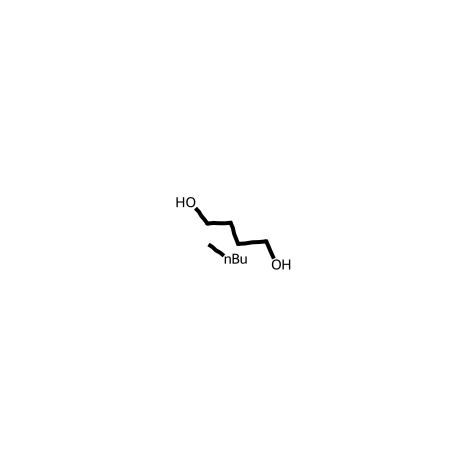 CCCCC.OCCCCO